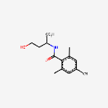 Cc1cc(C#N)cc(C)c1C(=O)N[C@@H](CCO)C(=O)O